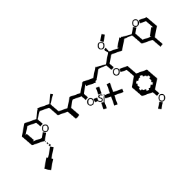 C#CC[C@@H]1C=CC[C@@H](C[C@@H](C)CC(=C)CC(/C=C/C[C@H](OCc2ccc(OC)cc2)[C@H](/C=C/[C@@H]2CC(C)=CCO2)OC)O[Si](C)(C)C(C)(C)C)O1